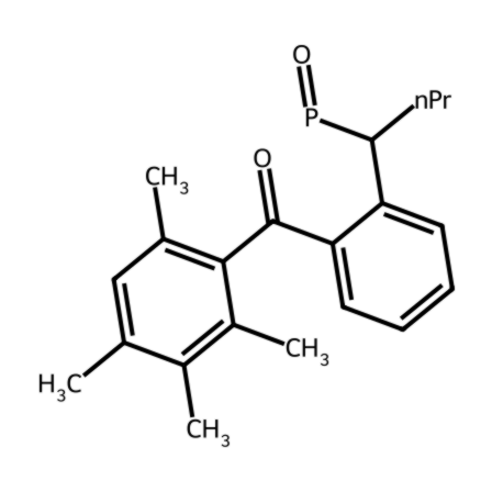 CCCC(P=O)c1ccccc1C(=O)c1c(C)cc(C)c(C)c1C